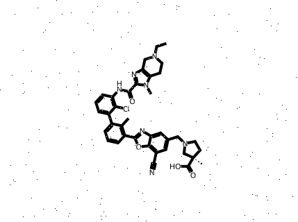 CCN1CCc2c(nc(C(=O)Nc3cccc(-c4cccc(-c5nc6cc(CN7CC[C@@](C)(C(=O)O)C7)cc(C#N)c6o5)c4C)c3Cl)n2C)C1